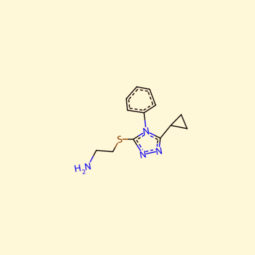 NCCSc1nnc(C2CC2)n1-c1ccccc1